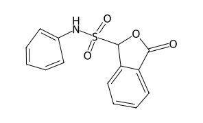 O=C1OC(S(=O)(=O)Nc2ccccc2)c2ccccc21